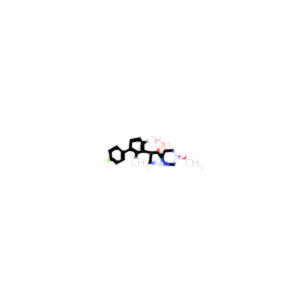 CON1CCC2(CC1)NCC(c1c(C)ccc(-c3ccc(F)cc3)c1C)C2O